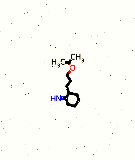 CC(C)OCCCC1CCCCC1=N